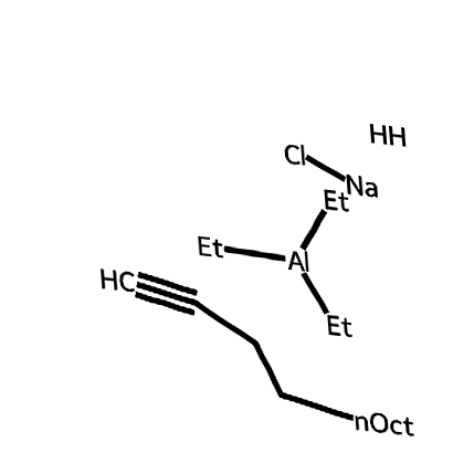 C#CCCCCCCCCCC.C[CH2][Al]([CH2]C)[CH2]C.[HH].[Na][Cl]